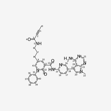 CC#CC(=O)NCCCc1cc(C(=O)Nc2ccc(-c3cn(C)c4ncnc(N)c34)cn2)c(=O)n(-c2ccccc2)c1